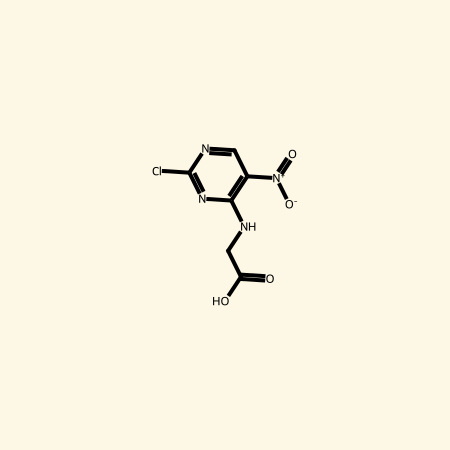 O=C(O)CNc1nc(Cl)ncc1[N+](=O)[O-]